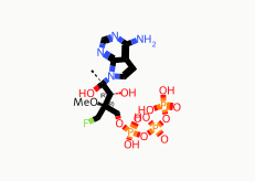 CO[C@](CF)(COP(=O)(O)OP(=O)(O)OP(=O)(O)O)[C@@H](O)[C@@](C)(O)n1ccc2c(N)ncnc21